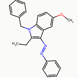 CCc1c(N=Nc2ccccc2)c2cc(OC)ccc2n1Cc1ccccc1